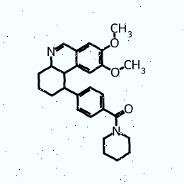 COc1cc2c(cc1OC)C1C(CCCC1c1ccc(C(=O)N3CCCCC3)cc1)N=C2